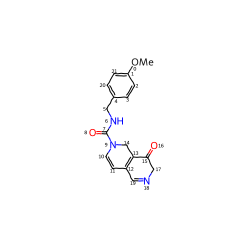 COc1ccc(CNC(=O)N2C=CC3=C(C2)C(=O)CN=C3)cc1